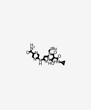 CC(C)(C)Cn1c(=O)c(C(=O)NC2CC2)c(O)n2nc(Nc3cnc(C(N)=O)cn3)cc12